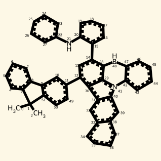 CC1(C)c2ccccc2-c2cc(-c3cc(-c4ccccc4Nc4ccccc4)c4c5c3c3cc6ccccc6cc3n5-c3ccccc3B4)ccc21